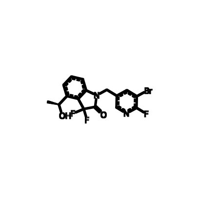 C[C@H](O)c1cccc2c1C(F)(F)C(=O)N2Cc1cnc(F)c(Br)c1